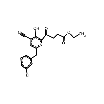 CCOC(=O)CCC(=O)c1nc(Cc2cccc(Cl)c2)cc(C#N)c1O